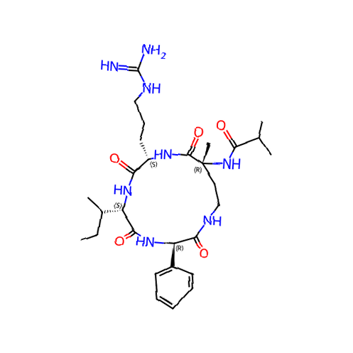 CCC(C)[C@@H]1NC(=O)[C@H](CCCNC(=N)N)NC(=O)[C@](C)(NC(=O)C(C)C)CCNC(=O)[C@@H](c2ccccc2)NC1=O